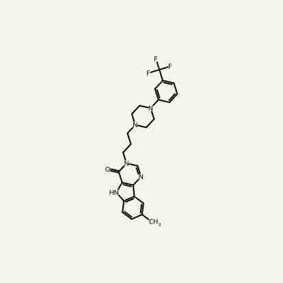 Cc1ccc2[nH]c3c(=O)n(CCCN4CCN(c5cccc(C(F)(F)F)c5)CC4)cnc3c2c1